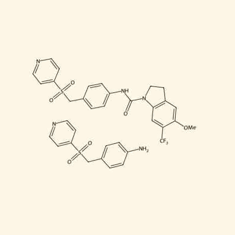 COc1cc2c(cc1C(F)(F)F)N(C(=O)Nc1ccc(CS(=O)(=O)c3ccncc3)cc1)CC2.Nc1ccc(CS(=O)(=O)c2ccncc2)cc1